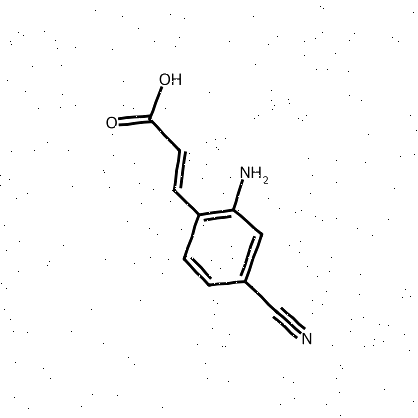 N#Cc1ccc(C=CC(=O)O)c(N)c1